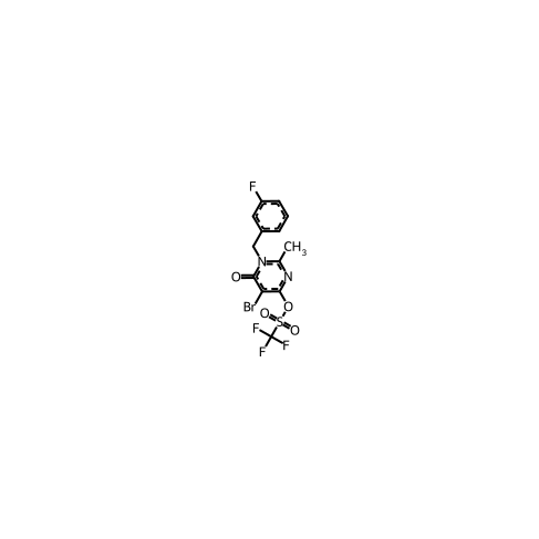 Cc1nc(OS(=O)(=O)C(F)(F)F)c(Br)c(=O)n1Cc1cccc(F)c1